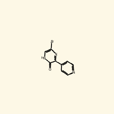 O=c1[nH]cc(Br)nc1-c1ccncc1